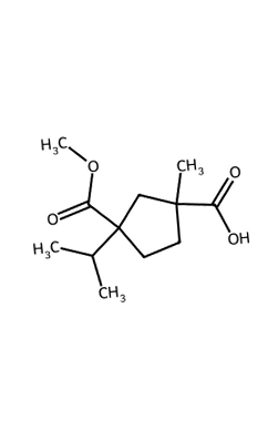 COC(=O)C1(C(C)C)CCC(C)(C(=O)O)C1